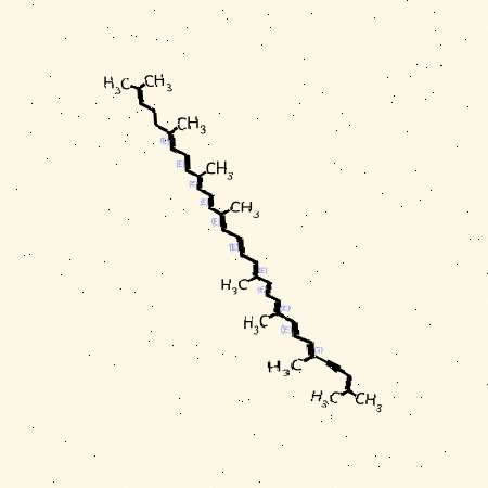 CC(C)=CC#C/C(C)=C/C=C/C(C)=C/C=C/C(C)=C/C=C/C=C(C)/C=C/C=C(C)/C=C/C=C(\C)CCC=C(C)C